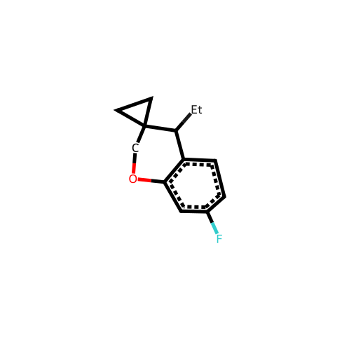 CCC1c2ccc(F)cc2OCC12CC2